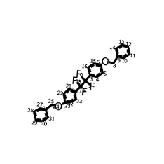 FC(F)(c1ccc(OCc2ccccc2)cc1)C(F)(F)c1ccc(OCc2ccccc2)cc1